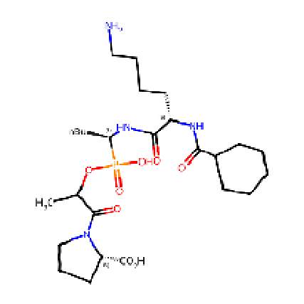 CCCC[C@@H](NC(=O)[C@H](CCCCN)NC(=O)C1CCCCC1)P(=O)(O)OC(C)C(=O)N1CCC[C@H]1C(=O)O